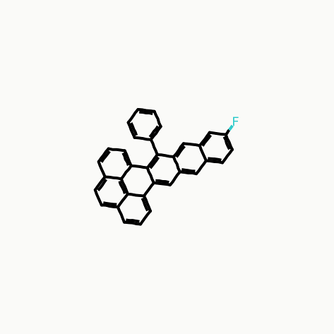 Fc1ccc2cc3cc4c5cccc6ccc7cccc(c4c(-c4ccccc4)c3cc2c1)c7c65